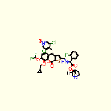 O=C(O)c1sc(CNC(C(=O)O[C@H]2CN3CCC2CC3)c2ccccc2F)cc1[C@@H](Cc1c(Cl)c[n+]([O-])cc1Cl)c1ccc(OC(F)F)c(OCC2CC2)c1